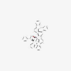 c1ccc(-c2ccc(-n3c4ccc(-c5ccccc5-n5c6ccccc6c6ccccc65)cc4c4ccc5c(c43)C3(c4ccccc4-c4ccccc43)c3ccccc3-5)cc2)cc1